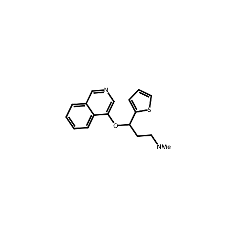 CNCCC(Oc1cncc2ccccc12)c1cccs1